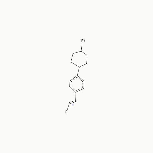 CCC1CCC(c2ccc(/C=C/F)cc2)CC1